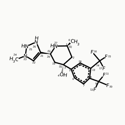 C[C@H]1C[C@@](O)(c2ccc(C(F)(F)F)c(C(F)(F)F)c2)C[C@@H](C2=CN(C)NN2)N1